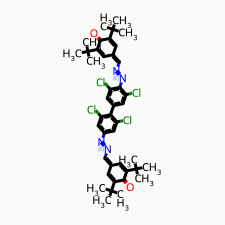 CC(C)(C)C1=CC(=C/N=N/c2cc(Cl)c(-c3cc(Cl)c(/N=N/C=C4C=C(C(C)(C)C)C(=O)C(C(C)(C)C)=C4)c(Cl)c3)c(Cl)c2)C=C(C(C)(C)C)C1=O